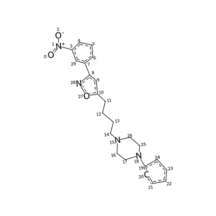 O=[N+]([O-])c1cccc(-c2cc(CCCCN3CCN(c4ccccc4)CC3)on2)c1